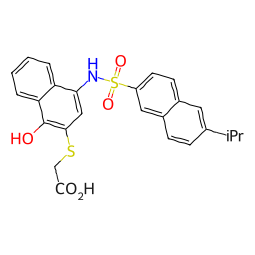 CC(C)c1ccc2cc(S(=O)(=O)Nc3cc(SCC(=O)O)c(O)c4ccccc34)ccc2c1